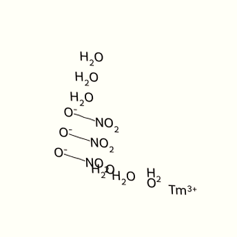 O.O.O.O.O.O.O=[N+]([O-])[O-].O=[N+]([O-])[O-].O=[N+]([O-])[O-].[Tm+3]